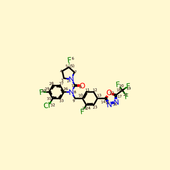 O=C(N1CC[C@H](F)C1)N(CC1=CCC(c2nnc(C(F)(F)F)o2)C=C1F)c1ccc(F)c(Cl)c1